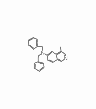 Cc1cncc2ccc(N(Cc3ccccc3)Cc3ccccc3)cc12